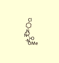 CON(C)C(=O)c1cn(-c2ccc(Cl)cc2)cn1